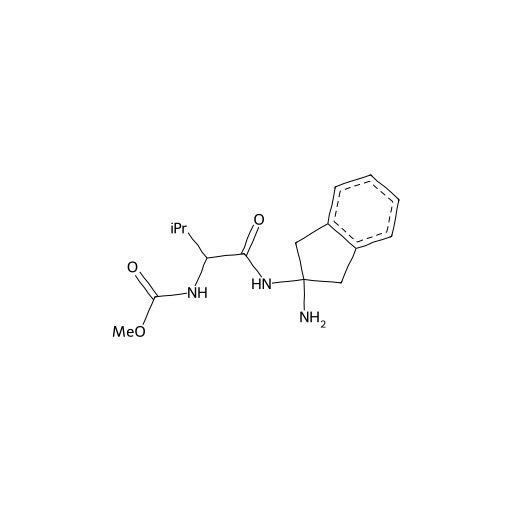 COC(=O)NC(C(=O)NC1(N)Cc2ccccc2C1)C(C)C